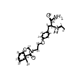 CCNC(Cc1ccc(OCCN2COc3cccc(C)c3C2=O)cc1)C(N)=O